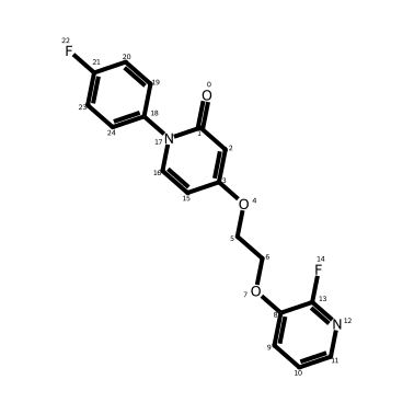 O=c1cc(OCCOc2cccnc2F)ccn1-c1ccc(F)cc1